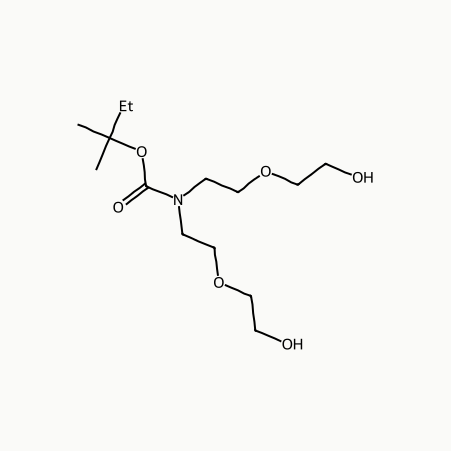 CCC(C)(C)OC(=O)N(CCOCCO)CCOCCO